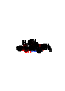 CC(C)(C)OC(=O)N1CCC[C@@H](/N=C(/N[C@@H]2CCCN(C(=O)OC(C)(C)C)C2)N2Cc3ccc(OC[C@@H](O)C(=O)OCc4ccccc4)cc3C2)C1